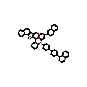 c1cc(-c2ccc3ccccc3c2)cc(N(c2ccc(-c3ccc(-c4cccc5ccccc45)cc3)cc2)c2ccccc2-c2cccc3c2oc2c4ccccc4ccc32)c1